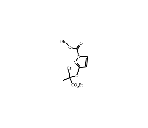 CCOC(=O)C(C)(CC)Oc1ccn(C(=O)OC(C)(C)C)n1